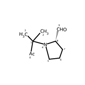 CC(=O)C(C)(C)N1CCC[C@H]1C=O